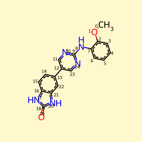 COc1ccccc1Nc1ncc(-c2ccc3[nH]c(=O)[nH]c3c2)cn1